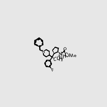 COC(=O)N[C@H]1CCC[C@@H]1[C@](C(=O)O)(c1cccc(F)c1)C1CCN(Cc2ccccc2)CC1